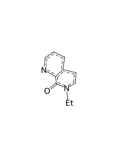 CCn1ccc2cccnc2c1=O